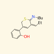 CC/C=C1/C=C(c2ccccc2O)CS/C1=N/C(C)CC